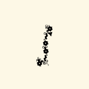 COc1ccccc1CN(C(=O)CCCSc1ccc(OC(=O)c2ccc(SCCCC(=O)N(C)Cc3ccccc3C(F)(F)F)cc2)cc1)C1CC1